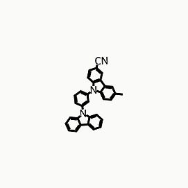 Cc1ccc2c(c1)c1cc(C#N)ccc1n2-c1cccc(-n2c3ccccc3c3ccccc32)c1